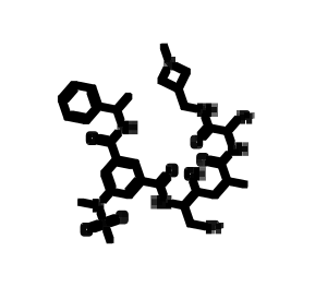 CC(C)CC(NC(=O)c1cc(C(=O)NC(C)c2ccccc2)cc(N(C)S(C)(=O)=O)c1)C(O)CC(C)C(=O)NC(C(=O)NCC1CN(C)C1)C(C)C